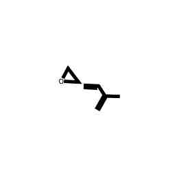 C1CO1.C=CC(=C)C